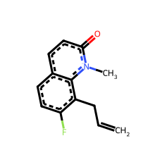 C=CCc1c(F)ccc2ccc(=O)n(C)c12